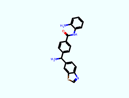 Nc1ccccc1NC(=O)c1ccc(C(N)c2ccc3ncsc3c2)cc1